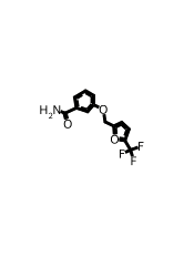 NC(=O)c1cccc(OCc2ccc(C(F)(F)F)o2)c1